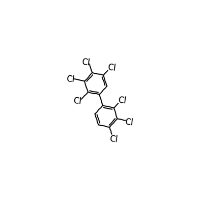 Clc1ccc(-c2cc(Cl)c(Cl)c(Cl)c2Cl)c(Cl)c1Cl